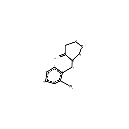 O=C1CCSCC1Cc1ccccc1Br